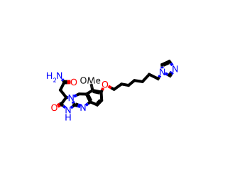 COc1c(OCCCCCCCn2ccnc2)ccc2c1CN1C(=N2)NC(=O)C1CC(N)=O